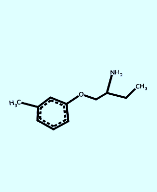 CCC(N)COc1cccc(C)c1